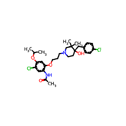 CC(=O)Nc1cc(Cl)c(OC(C)C)cc1OCCCN1CCC(O)(Cc2ccc(Cl)cc2)C(C)(C)C1